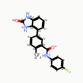 O=C(Nc1ccc(F)cc1)c1cc(-c2cccc3[nH]c(=O)[nH]c23)ccc1C(F)(F)F